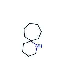 C1CCCC2(CC1)CCCCN2